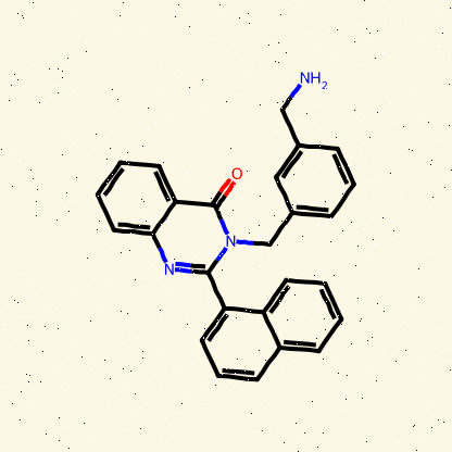 NCc1cccc(Cn2c(-c3cccc4ccccc34)nc3ccccc3c2=O)c1